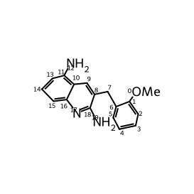 COc1ccccc1Cc1cc2c(N)cccc2nc1N